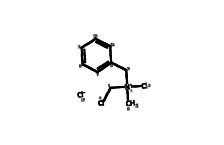 C[N+](Cl)(CCl)Cc1ccccc1.[Cl-]